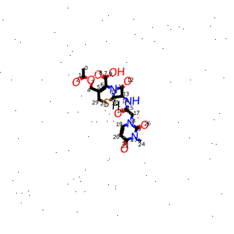 CC(=O)OCC1=C(C(=O)O)N2C(=O)[C@@H](NC(=O)Cn3ccc(=O)n(C)c3=O)[C@H]2SC1